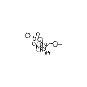 CC(C)CN1CCCN2C(=O)c3c(OCc4ccccc4)c(=O)ccn3C[C@]12C(=O)NCCc1ccc(F)cc1